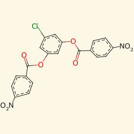 O=C(Oc1cc(Cl)cc(OC(=O)c2ccc([N+](=O)[O-])cc2)c1)c1ccc([N+](=O)[O-])cc1